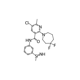 Cc1nc(N2CCCC(F)(F)CC2)c(C(=O)Nc2cccc([Si](C)=N)c2)cc1Cl